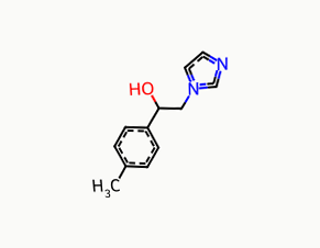 Cc1ccc(C(O)Cn2ccnc2)cc1